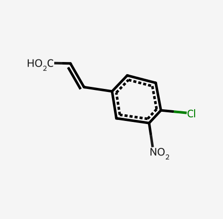 O=C(O)C=Cc1ccc(Cl)c([N+](=O)[O-])c1